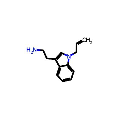 C=CCn1cc(CCN)c2ccccc21